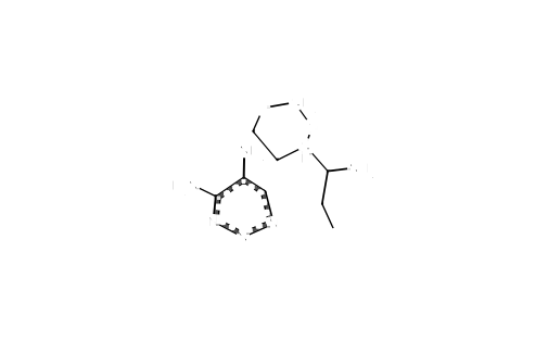 CCC(N)[SiH]1CCO[SiH2][SiH2]1.Nc1cnnnc1N